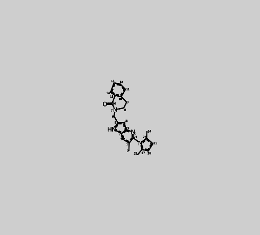 Cc1cc2[nH]c(CN3CCc4ccccc4C3=O)cc2nc1-n1c(C)ccc1C